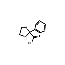 O=C(O)C1(c2ccccc2)NCCS1